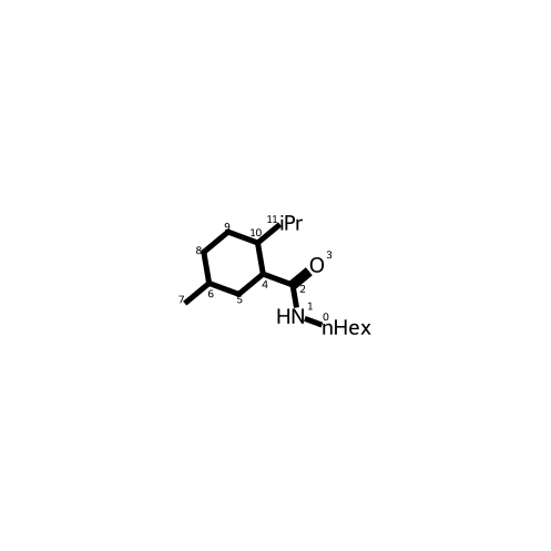 CCCCCCNC(=O)C1CC(C)CCC1C(C)C